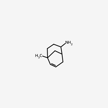 CC12C=CCC(C1)C(N)CC2